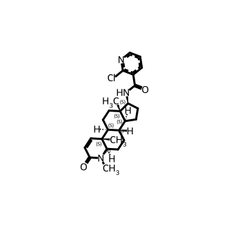 CN1C(=O)C=C[C@]2(C)[C@H]3CC[C@]4(C)[C@@H](NC(=O)c5cccnc5Cl)CC[C@H]4[C@@H]3CC[C@@H]12